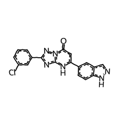 O=c1cc(-c2ccc3[nH]ncc3c2)[nH]c2nc(-c3cccc(Cl)c3)nn12